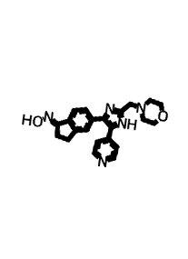 ON=C1CCc2cc(-c3nc(CN4CCOCC4)[nH]c3-c3ccncc3)ccc21